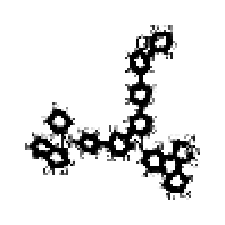 c1ccc(N(c2ccc(-c3ccc4c(c3)c3cc(-c5ccc(-c6ccc7oc8ccccc8c7c6)cc5)ccc3n4-c3ccc4c5ccccc5c5ccccc5c4c3)cc2)c2cccc3ccccc23)cc1